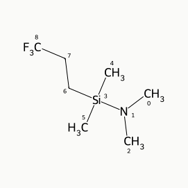 CN(C)[Si](C)(C)CCC(F)(F)F